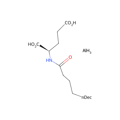 CCCCCCCCCCCCCC(=O)N[C@H](CCC(=O)O)C(=O)O.[AlH3]